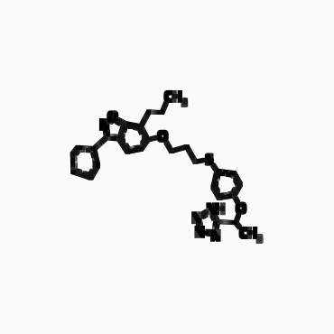 CCCc1c(OCCCSc2ccc(OC(C)c3nnn[nH]3)cc2)ccc2c(-c3ccccc3)noc12